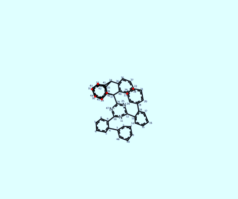 c1ccc(-c2ccccc2-c2nc(-c3ccccc3-c3ccccc3)nc(C34c5ccccc5C(c5ccccc53)c3ccccc34)n2)cc1